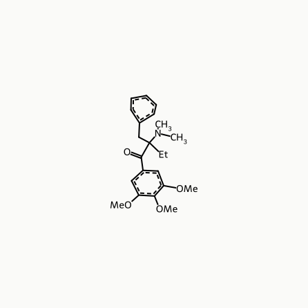 CCC(Cc1ccccc1)(C(=O)c1cc(OC)c(OC)c(OC)c1)N(C)C